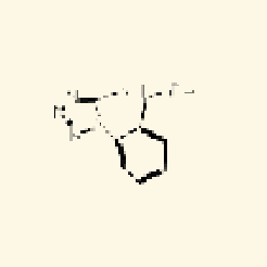 CCCCCC1Nc2nnnn2-c2ccccc21